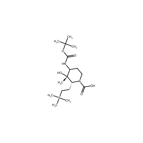 CC(C)(C)OC(=O)NC1CCN(C(=O)O)[C@H](CC[Si](C)(C)C)[C@]1(C)O